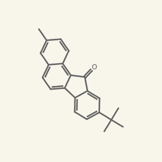 Cc1ccc2c3c(ccc2c1)-c1ccc(C(C)(C)C)cc1C3=O